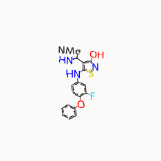 CNC(=N)c1c(O)nsc1Nc1ccc(Oc2ccccc2)c(F)c1